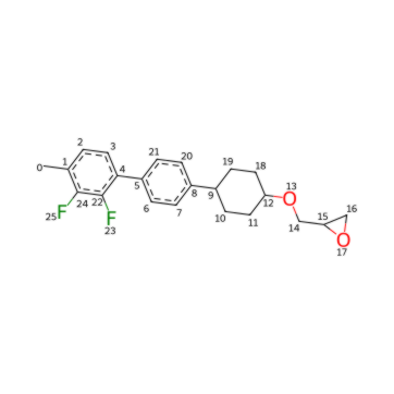 Cc1ccc(-c2ccc(C3CCC(OCC4CO4)CC3)cc2)c(F)c1F